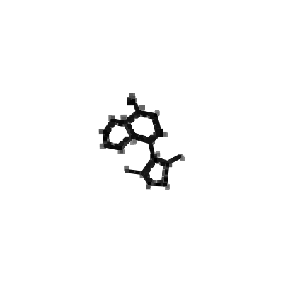 Cc1ccc(C)n1-c1ncc(Br)c2ccccc12